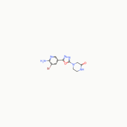 Nc1ncc(-c2nnc(N3CCNC(=O)C3)o2)cc1Br